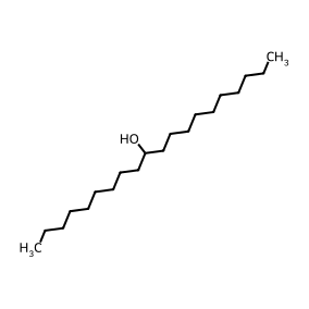 CCCCCCCCCCC(O)CCCCCCCCC